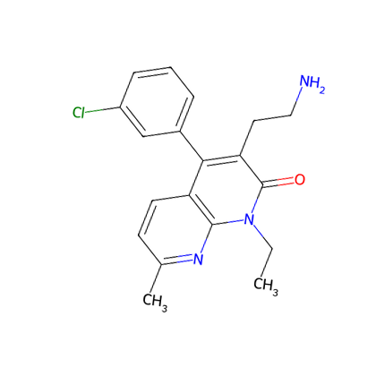 CCn1c(=O)c(CCN)c(-c2cccc(Cl)c2)c2ccc(C)nc21